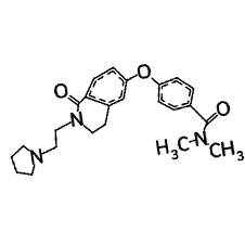 CN(C)C(=O)c1ccc(Oc2ccc3c(c2)CCN(CCN2CCCC2)C3=O)cc1